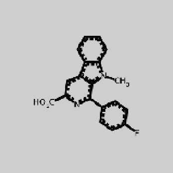 Cn1c2ccccc2c2cc(C(=O)O)nc(-c3ccc(F)cc3)c21